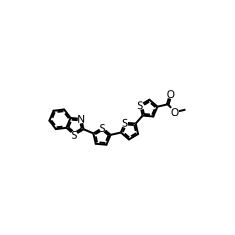 COC(=O)c1csc(-c2ccc(-c3ccc(-c4nc5ccccc5s4)s3)s2)c1